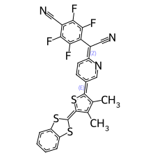 Cc1c(C)/c(=c2/cc/c(=C(/C#N)c3c(F)c(F)c(C#N)c(F)c3F)nc2)sc1=C1Sc2ccccc2S1